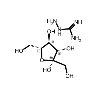 N=C(N)NN.OC[C@H]1O[C@](O)(CO)[C@@H](O)[C@@H]1O